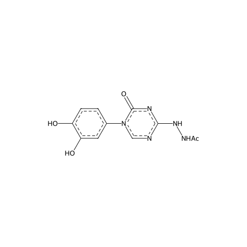 CC(=O)NNc1ncn(-c2ccc(O)c(O)c2)c(=O)n1